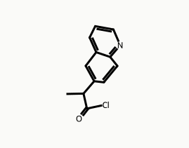 CC(C(=O)Cl)c1ccc2ncccc2c1